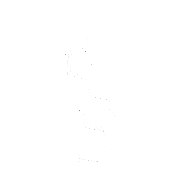 Cc1cc2c(cc1-c1cnn(C)c1)CCCN2